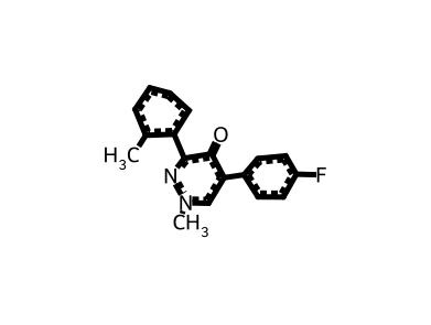 Cc1ccccc1-c1nn(C)cc(-c2ccc(F)cc2)c1=O